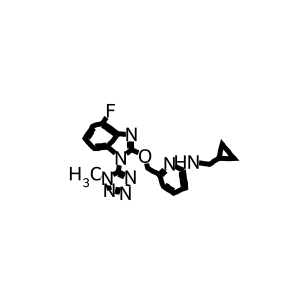 Cn1nnnc1-n1c(OCc2cccc(NCC3CC3)n2)nc2c(F)cccc21